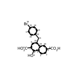 O=C(O)c1ccc2c(O)c(C(=O)O)cc(Cc3ccc(Br)cc3)c2c1